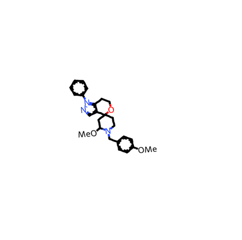 COc1ccc(CN2CCC3(CC2OC)OCCc2c3cnn2-c2ccccc2)cc1